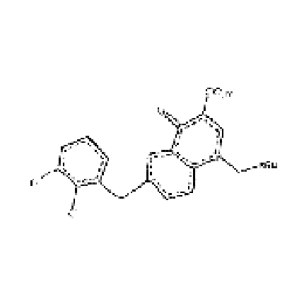 CC(C)(C)Cn1cc(C(=O)O)c(=O)c2cc(Cc3cccc(Cl)c3Cl)ccc21